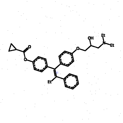 CC/C(=C(/c1ccc(OCC(O)CN(CC)CC)cc1)c1ccc(OC(=O)C2CC2)cc1)c1ccccc1